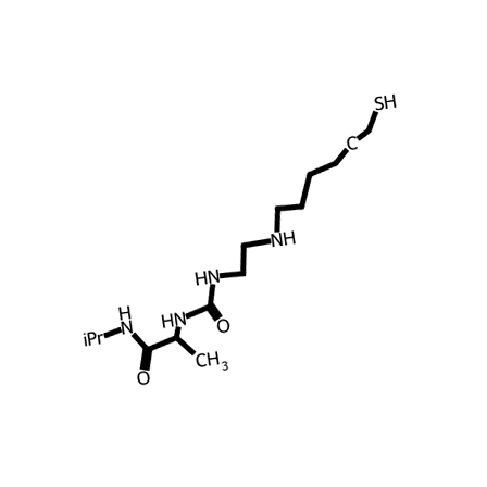 CC(C)NC(=O)C(C)NC(=O)NCCNCCCCCCS